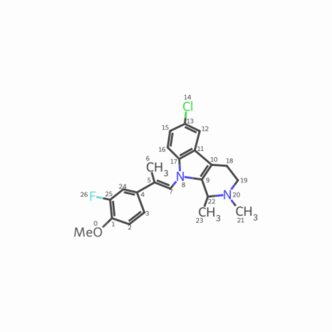 COc1ccc(C(C)=Cn2c3c(c4cc(Cl)ccc42)CCN(C)C3C)cc1F